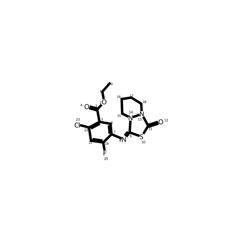 CCOC(=O)c1cc(/N=c2/sc(=O)n3n2CCCC3)c(F)cc1Cl